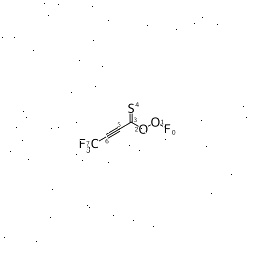 FOOC(=S)C#CC(F)(F)F